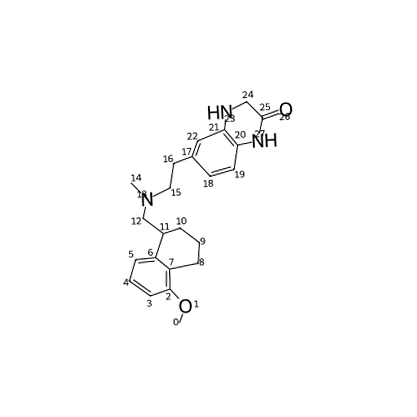 COc1cccc2c1CCCC2CN(C)CCc1ccc2c(c1)NCC(=O)N2